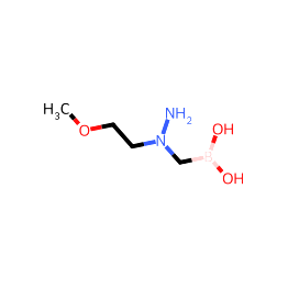 COCCN(N)CB(O)O